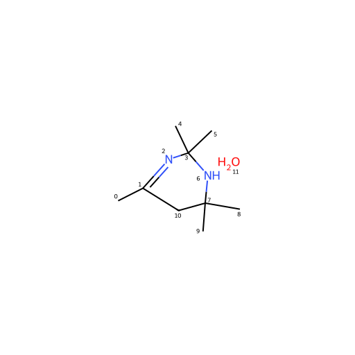 CC1=NC(C)(C)NC(C)(C)C1.O